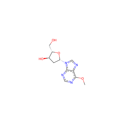 COc1ncnc2c1ncn2[C@@H]1C[C@@H](O)[C@H](CO)O1